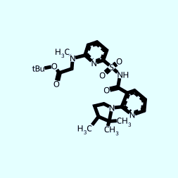 CC1CCN(c2ncccc2C(=O)NS(=O)(=O)c2cccc(N(C)CC(=O)OC(C)(C)C)n2)C1(C)C